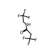 O=C(CC(F)(F)F)NCC(F)(F)F